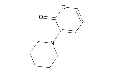 O=c1occcc1N1CCCCC1